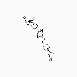 CC1(OC(=O)N2CCC(COc3cnc(N4CCN(S(=O)(=O)CC5(N)CC5)CC4)cn3)CC2)CC1